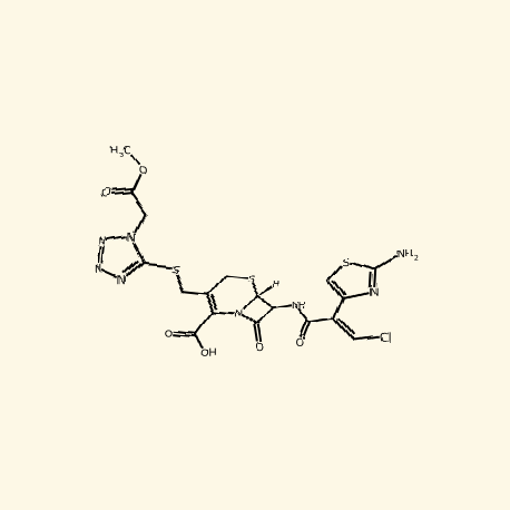 COC(=O)Cn1nnnc1SCC1=C(C(=O)O)N2C(=O)C(NC(=O)/C(=C/Cl)c3csc(N)n3)[C@H]2SC1